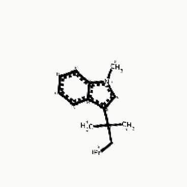 CC(C)CC(C)(C)c1cn(C)c2ccccc12